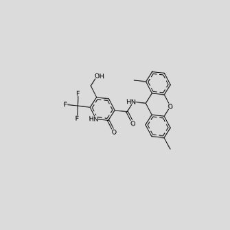 Cc1ccc2c(c1)Oc1cccc(C)c1C2NC(=O)c1cc(CO)c(C(F)(F)F)[nH]c1=O